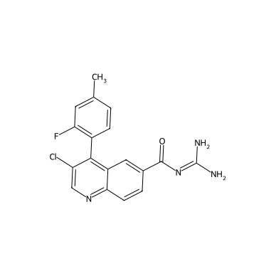 Cc1ccc(-c2c(Cl)cnc3ccc(C(=O)N=C(N)N)cc23)c(F)c1